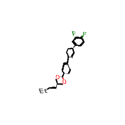 CC/C=C/[C@H]1CO[C@H]([C@H]2CC[C@H]([C@H]3CC[C@H](c4ccc(F)c(F)c4)CC3)CC2)OC1